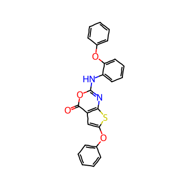 O=c1oc(Nc2ccccc2Oc2ccccc2)nc2sc(Oc3ccccc3)cc12